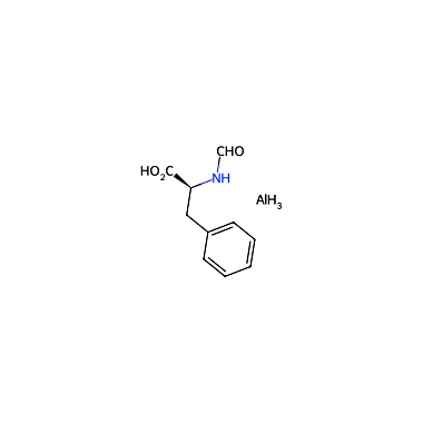 O=CN[C@@H](Cc1ccccc1)C(=O)O.[AlH3]